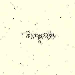 Cc1c(C)n(Cc2ccc(C(C)(C)C(=O)O)cc2)c2ccc(C(=O)N[C@H]3COC4=C3C=CCC4C(C)C)cc12